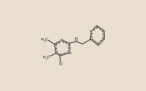 Cc1nc(NCc2ccccn2)nc(Cl)c1C